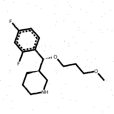 COCCCO[C@@H](c1ccc(F)cc1F)[C@@H]1CCCNC1